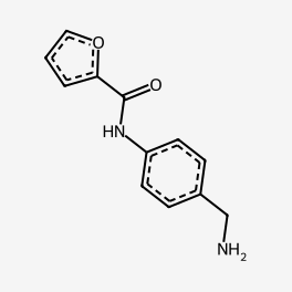 NCc1ccc(NC(=O)c2ccco2)cc1